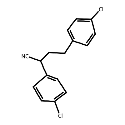 N#CC(CCc1ccc(Cl)cc1)c1ccc(Cl)cc1